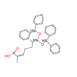 CC(=CCCC(C)[SiH](O[SiH](c1ccccc1)c1ccccc1)O[SiH](c1ccccc1)c1ccccc1)C(=O)O